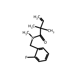 C=CC(C)(C)C(=O)N(C)Cc1ccccc1F